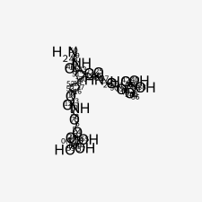 C[C@@H]1O[C@@H](OCCOCCNC(=O)COc2ccc(-c3cc(OCC(=O)NCCOCCO[C@@H]4O[C@@H](C)[C@H](O)[C@@H](O)[C@H]4O)cc(C(=O)NCCN)c3)cc2)[C@H](O)[C@H](O)[C@H]1O